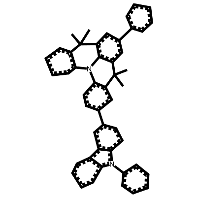 CC1(C)c2ccccc2N2c3ccc(-c4ccc5c(c4)c4ccccc4n5-c4ccccc4)cc3C(C)(C)c3cc(-c4ccccc4)cc1c32